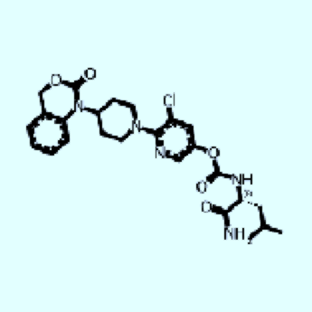 CC(C)C[C@@H](NC(=O)Oc1cnc(N2CCC(N3C(=O)OCc4ccccc43)CC2)c(Cl)c1)C(N)=O